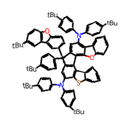 CC(C)(C)c1ccc(N(c2ccc(C(C)(C)C)cc2)c2cc3c(c4c2sc2ccccc24)-c2c(cc(N(c4ccc(C(C)(C)C)cc4)c4ccc(C(C)(C)C)cc4)c4c2oc2ccccc24)C3(c2ccc(C(C)(C)C)cc2)c2ccc3oc4ccc(C(C)(C)C)cc4c3c2)cc1